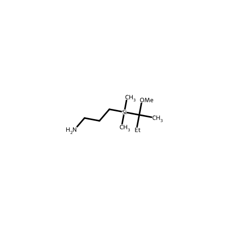 CCC(C)(OC)[Si](C)(C)CCCN